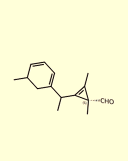 CC1=C(C(C)C2=CC=CC(C)C2)[C@@]1(C)C=O